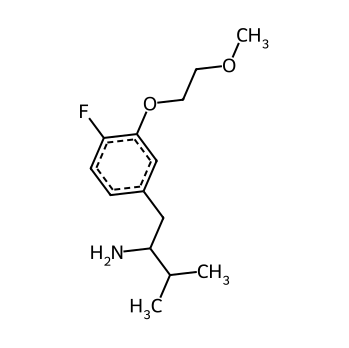 COCCOc1cc(CC(N)C(C)C)ccc1F